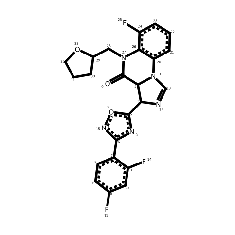 O=C1C2C(c3nc(-c4ccc(F)cc4F)no3)N=CN2c2cccc(F)c2N1CC1CCCO1